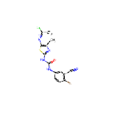 C/C(Cl)=N\c1sc(NC(=O)Nc2ccc(Br)c(C#N)c2)nc1C